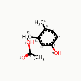 CC(=O)O.Cc1ccc(O)cc1C